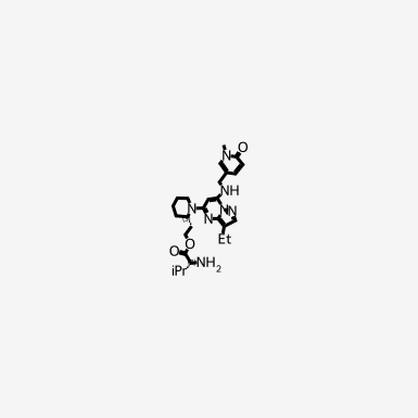 CCc1cnn2c(NCc3ccc(=O)n(C)c3)cc(N3CCCC[C@H]3CCOC(=O)[C@H](N)C(C)C)nc12